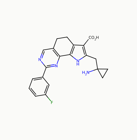 NC1(Cc2[nH]c3c(c2C(=O)O)CCc2cnc(-c4cccc(F)c4)nc2-3)CC1